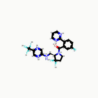 O=C(c1cc(F)ccc1-c1ncccn1)N1CCC(F)(F)[C@H]1CNc1cnc(C(F)(F)F)cn1